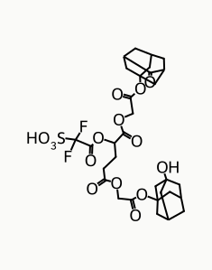 O=C(CCC(OC(=O)C(F)(F)S(=O)(=O)O)C(=O)OCC(=O)OC12CC3CC(C1)C(=O)C(C3)C2)OCC(=O)OC12CC3CC(CC(O)(C3)C1)C2